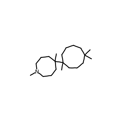 CN1CCCC(C)(C2(C)CCCCC(C)(C)CCC2)CCC1